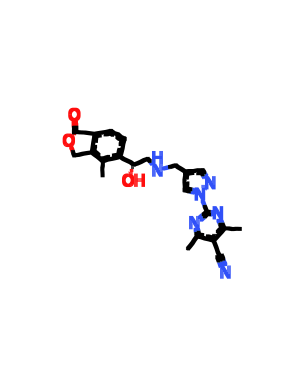 Cc1nc(-n2cc(CNC[C@H](O)c3ccc4c(c3C)COC4=O)cn2)nc(C)c1C#N